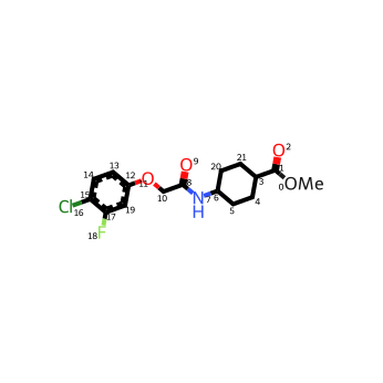 COC(=O)C1CCC(NC(=O)COc2ccc(Cl)c(F)c2)CC1